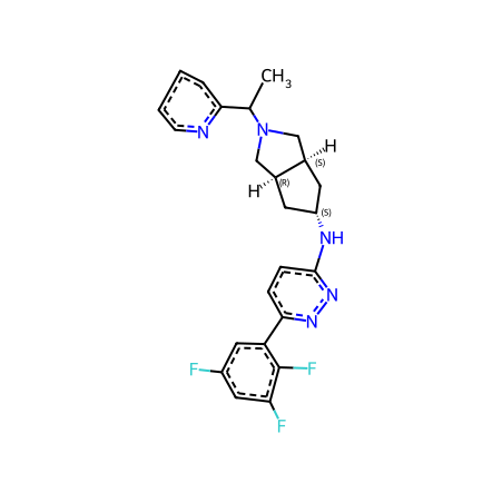 CC(c1ccccn1)N1C[C@H]2C[C@H](Nc3ccc(-c4cc(F)cc(F)c4F)nn3)C[C@H]2C1